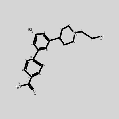 CC(C)CCN1CCC(c2cccc(-c3ccc(C(N)=O)cc3)c2)CC1.Cl